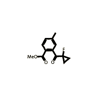 COC(=O)c1ccc(C)cc1C(=O)C1(F)CC1